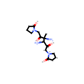 CC(N)(C(=O)CN1CCCC1=O)C(N)C(=O)CN1CCCC1=O